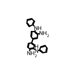 Nc1cc(-c2ccc(N)c(Nc3ccccc3)c2)ccc1Nc1ccccc1